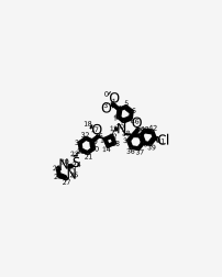 COC(=O)c1ccc2c(c1)N(C[C@@H]1CC[C@H]1C(OC)C1=CC[C@H](CSc3ncccn3)CC1)C[C@@]1(CCCc3cc(Cl)ccc31)CO2